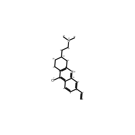 C=Cc1ccc2c(Cl)c3c(nc2c1)CC(CCN(C)C)CC3